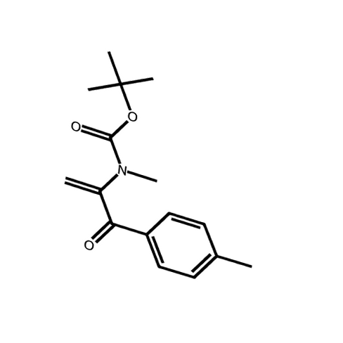 C=C(C(=O)c1ccc(C)cc1)N(C)C(=O)OC(C)(C)C